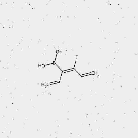 C=C/C(F)=C(\C=C)B(O)O